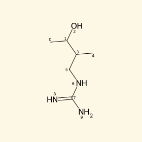 CC(O)C(C)CNC(=N)N